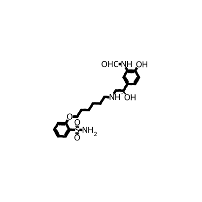 NS(=O)(=O)c1ccccc1OCCCCCCNC[C@@H](O)c1ccc(O)c(NC=O)c1